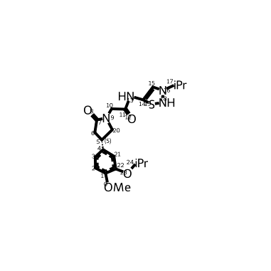 COc1ccc([C@@H]2CC(=O)N(CC(=O)NC3=CN(C(C)C)NS3)C2)cc1OC(C)C